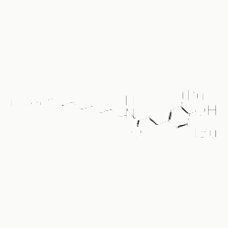 CCCCCCCCCCCCCCCCCCNC(=O)C=Cc1cc(C(C)(C)C)c(O)c(C(C)(C)C)c1